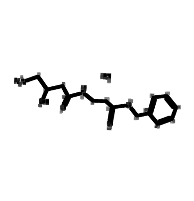 Cl.NCC(O)CC(=O)NCCC(=O)OCc1ccccc1